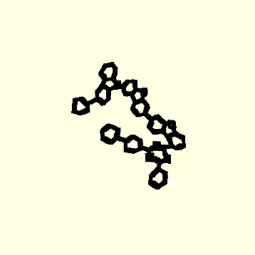 c1ccc(-c2ccc(-c3nc(-c4ccccc4)nc(-c4cccc5oc6cc(-c7ccc8c(c7)oc7ccc(-n9c%10ccccc%10c%10cc(-c%11ccccc%11)ccc%109)cc78)ccc6c45)n3)cc2)cc1